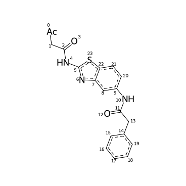 CC(=O)CC(=O)Nc1nc2cc(NC(=O)Cc3ccccc3)ccc2s1